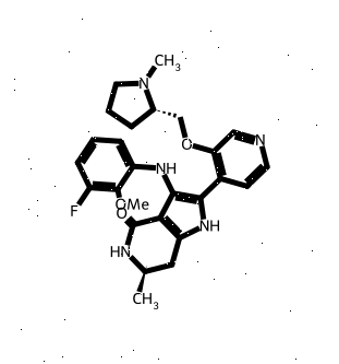 COc1c(F)cccc1Nc1c(-c2ccncc2OC[C@@H]2CCCN2C)[nH]c2c1C(=O)N[C@H](C)C2